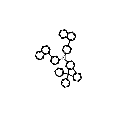 c1ccc(C2(c3ccccc3)c3ccccc3-c3ccc(N(c4ccc(-c5cccc6ccccc56)cc4)c4cccc(-c5cccc6ccccc56)c4)cc32)cc1